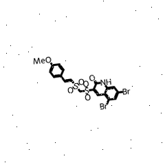 COc1ccc(/C=C/S(=O)(=O)CS(=O)(=O)c2cc3c(Br)cc(Br)cc3[nH]c2=O)cc1